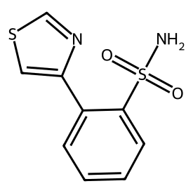 NS(=O)(=O)c1ccccc1-c1cscn1